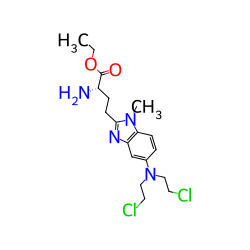 CCOC(=O)[C@@H](N)CCc1nc2cc(N(CCCl)CCCl)ccc2n1C